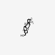 C[C@]12CCC3[C@@H](CC[C@@H]4CC(CO)CC[C@]34F)C1CCC2=O